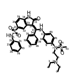 CCN(CC)CCN(c1ccc(N/C(=C2\C(=O)Nc3ccc(S(=O)(=O)Nc4ccccc4)cc32)c2ccccc2)cc1)S(C)(=O)=O